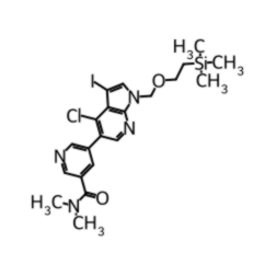 CN(C)C(=O)c1cncc(-c2cnc3c(c(I)cn3COCC[Si](C)(C)C)c2Cl)c1